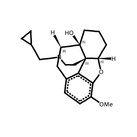 COc1ccc2c3c1O[C@H]1CCC[C@@]4(O)[C@@H](C2)N(CC2CC2)CC[C@]314